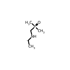 C[CH]NCP(C)(C)=O